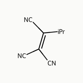 CC(C)C(C#N)=C(C#N)C#N